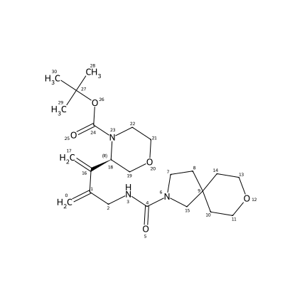 C=C(CNC(=O)N1CCC2(CCOCC2)C1)C(=C)[C@@H]1COCCN1C(=O)OC(C)(C)C